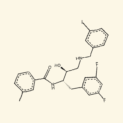 Cc1cccc(C(=O)N[C@@H](Cc2cc(F)cc(F)c2)[C@@H](O)CNCc2cccc(I)c2)c1